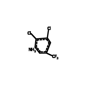 FC(F)(F)c1ccc(Cl)c(Cl)c1.N